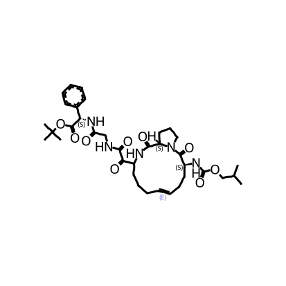 CC(C)COC(=O)N[C@H]1CC/C=C/CCCC(C(=O)C(=O)NCC(=O)N[C@H](C(=O)OC(C)(C)C)c2ccccc2)NC(=O)[C@@H]2CCCN2C1=O